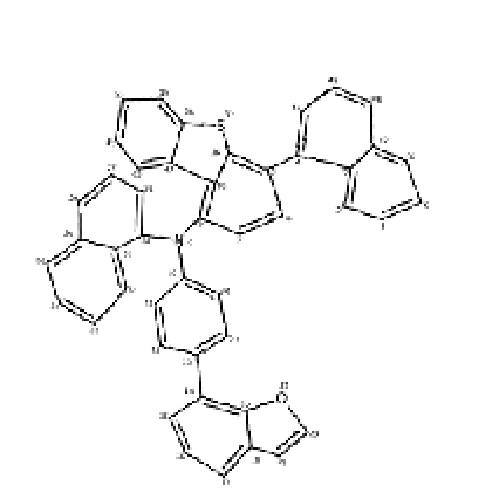 c1ccc2c(-c3ccc(N(c4ccc(-c5cccc6ccoc56)cc4)c4cccc5ccccc45)c4c3sc3ccccc34)cccc2c1